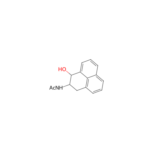 CC(=O)NC1Cc2cccc3cccc(c23)C1O